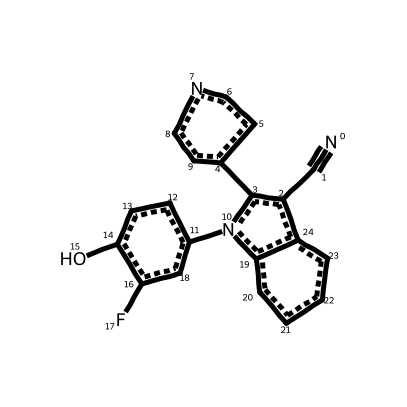 N#Cc1c(-c2ccncc2)n(-c2ccc(O)c(F)c2)c2ccccc12